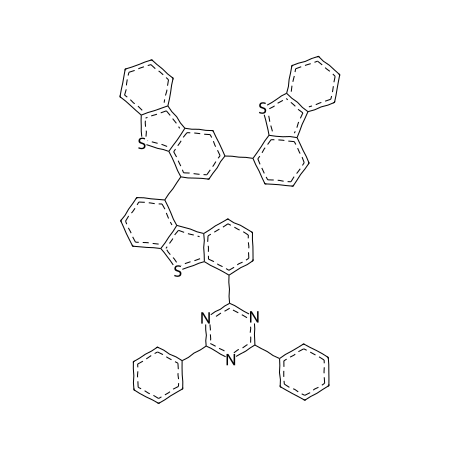 c1ccc(-c2nc(-c3ccccc3)nc(-c3cccc4c3sc3cccc(-c5cc(-c6cccc7c6sc6ccccc67)cc6c5sc5ccccc56)c34)n2)cc1